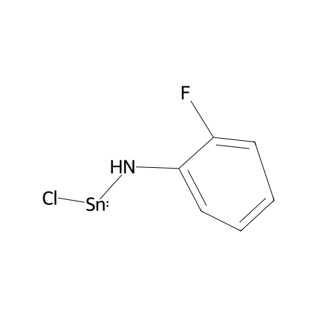 Fc1ccccc1[NH][Sn][Cl]